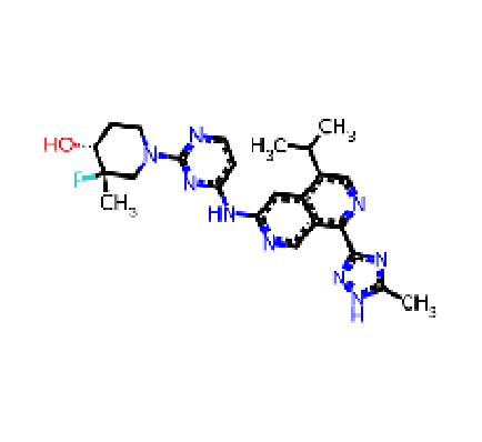 Cc1nc(-c2ncc(C(C)C)c3cc(Nc4ccnc(N5CC[C@@H](O)[C@@](C)(F)C5)n4)ncc23)n[nH]1